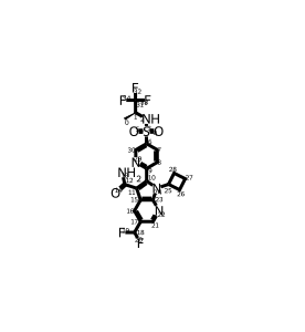 C[C@H](NS(=O)(=O)c1ccc(-c2c(C(N)=O)c3cc(C(F)F)cnc3n2C2CCC2)nc1)C(F)(F)F